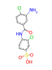 Nc1cc(C(=O)Nc2ccc(S(=O)(=O)O)cc2Cl)ccc1Cl